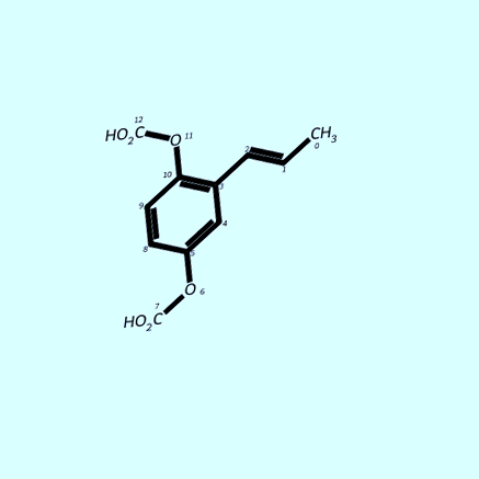 CC=Cc1cc(OC(=O)O)ccc1OC(=O)O